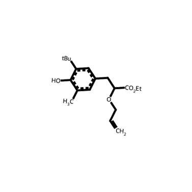 C=CCOC(Cc1cc(C)c(O)c(C(C)(C)C)c1)C(=O)OCC